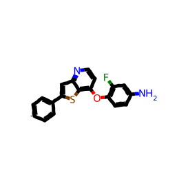 Nc1ccc(Oc2ccnc3cc(-c4cc[c]cc4)sc23)c(F)c1